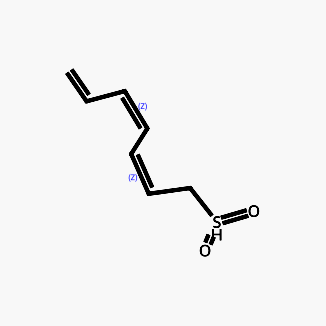 C=C/C=C\C=C/C[SH](=O)=O